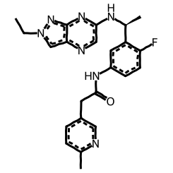 CCn1cc2ncc(N[C@@H](C)c3cc(NC(=O)Cc4ccc(C)nc4)ccc3F)nc2n1